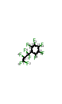 FC(F)=C(F)C(F)(F)c1c(F)c(F)c(F)c(F)c1F